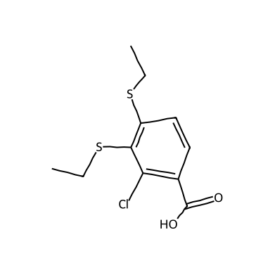 CCSc1ccc(C(=O)O)c(Cl)c1SCC